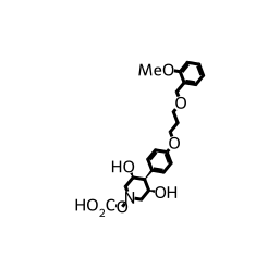 COc1ccccc1COCCCOc1ccc([C@@H]2[C@H](O)CN(OC(=O)O)C[C@@H]2O)cc1